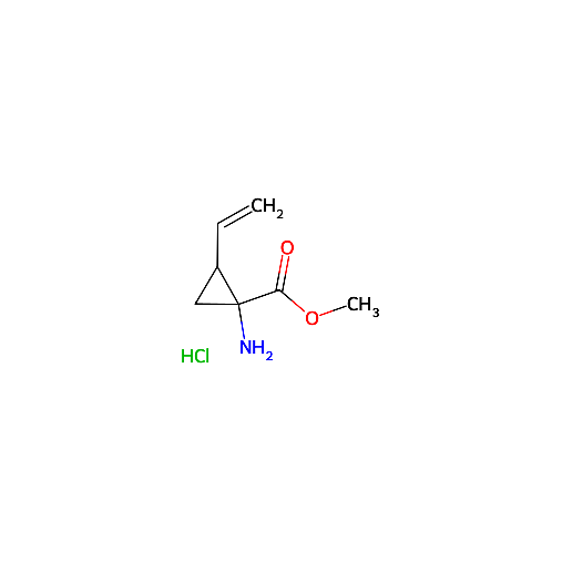 C=CC1CC1(N)C(=O)OC.Cl